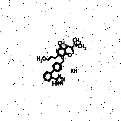 CCCCc1nc(C)c(CC(=S)N(C)C)c(=O)n1Cc1ccc(-c2ccccc2-c2nnn[nH]2)cc1.[KH]